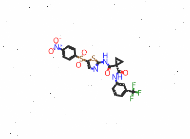 O=C(Nc1cccc(C(F)(F)F)c1)C1(C(=O)Nc2ncc(S(=O)(=O)c3ccc([N+](=O)[O-])cc3)s2)CC1